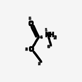 CN.COC=O